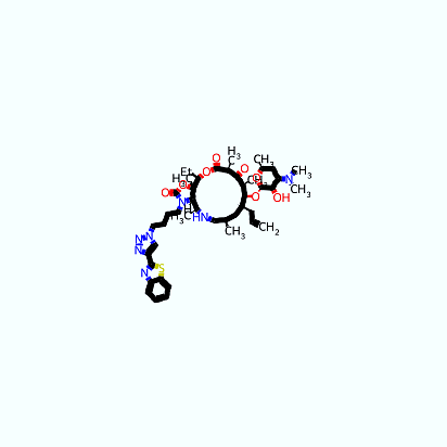 C=CC[C@H]1C[C@@H](C)CN[C@H](C)[C@H]2N(CCCCn3cc(-c4nc5ccccc5s4)nn3)C(=O)O[C@]2(C)[C@@H](CC)OC(=O)[C@H](C)C(=O)[C@H](C)[C@H]1O[C@@H]1O[C@H](C)CC(N(C)C)C1O